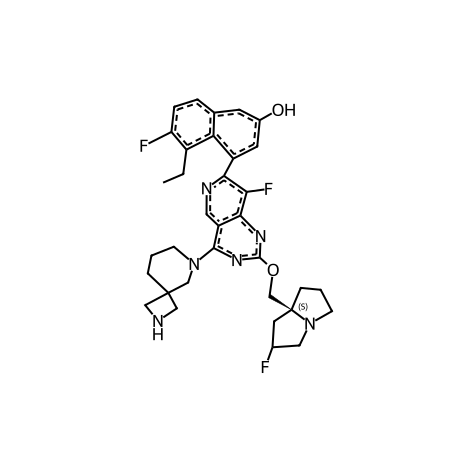 CCc1c(F)ccc2cc(O)cc(-c3ncc4c(N5CCCC6(CNC6)C5)nc(OC[C@@]56CCCN5CC(F)C6)nc4c3F)c12